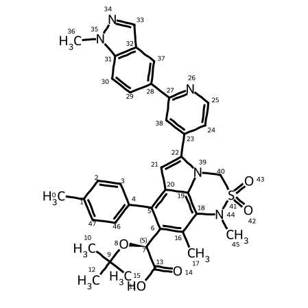 Cc1ccc(-c2c([C@H](OC(C)(C)C)C(=O)O)c(C)c3c4c2cc(-c2ccnc(-c5ccc6c(cnn6C)c5)c2)n4CS(=O)(=O)N3C)cc1